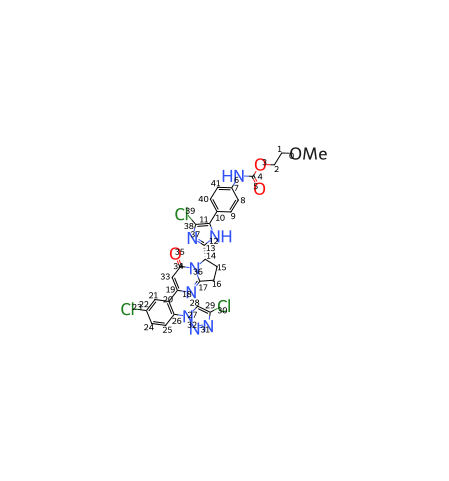 COCCOC(=O)Nc1ccc(-c2[nH]c([C@@H]3CCc4nc(-c5cc(Cl)ccc5-n5cc(Cl)nn5)cc(=O)n43)nc2Cl)cc1